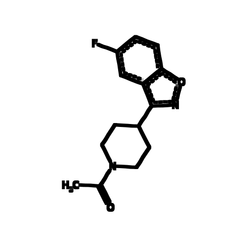 CC(=O)N1CCC(c2noc3ccc(F)cc23)CC1